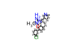 CN1C(=O)[C@@]2(N=C1N)c1cc(-c3cccc(Cl)c3)ccc1CCC2Cc1cccnc1